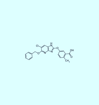 Cc1ccc(Oc2nc3nc(OCc4ccccc4)c(Cl)cc3[nH]2)cc1C(=O)O